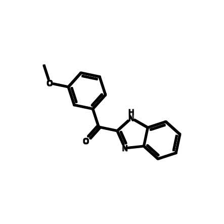 COc1cccc(C(=O)c2nc3ccccc3[nH]2)c1